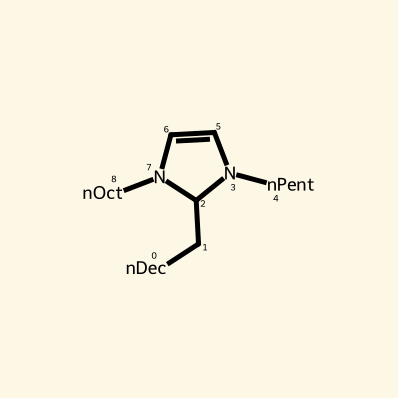 CCCCCCCCCCCC1N(CCCCC)C=CN1CCCCCCCC